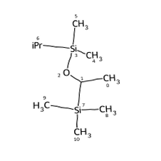 CC(O[Si](C)(C)C(C)C)[Si](C)(C)C